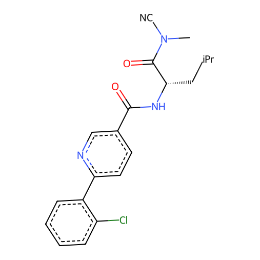 CC(C)C[C@H](NC(=O)c1ccc(-c2ccccc2Cl)nc1)C(=O)N(C)C#N